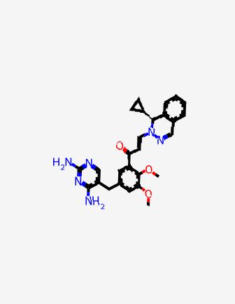 COc1cc(Cc2cnc(N)nc2N)cc(C(=O)/C=C/N2N=Cc3ccccc3[C@@H]2C2CC2)c1OC